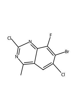 Cc1nc(Cl)nc2c(F)c(Br)c(Cl)cc12